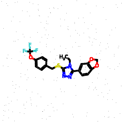 CCn1c(SCc2ccc(OC(F)(F)F)cc2)nnc1-c1ccc2c(c1)OCO2